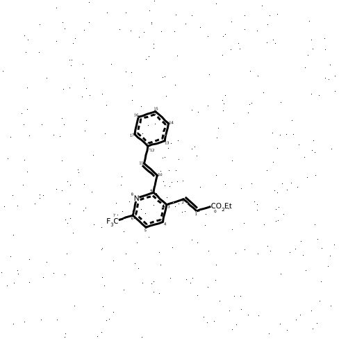 CCOC(=O)C=Cc1ccc(C(F)(F)F)nc1C=Cc1ccccc1